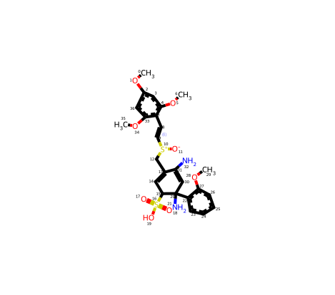 COc1cc(OC)c(/C=C/[S+]([O-])CC2=CC(S(=O)(=O)O)C(N)(c3ccccc3OC)C=C2N)c(OC)c1